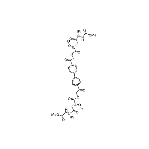 CCO[C@H](CC(=O)N(NC(=O)OC)C(C)C)C(=O)OCC(=O)c1ccc(-c2ccc(C(=O)COC(=O)[C@@H](CC(=O)N(NC(=O)OC)C(C)C)OCC)cc2)cc1